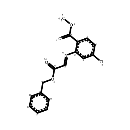 COC(=O)c1ccc(Cl)cc1N=CC(=O)OCc1ccccc1